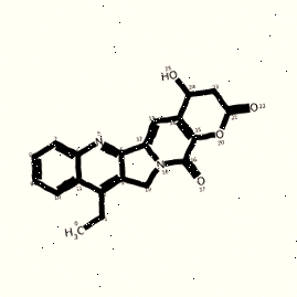 CCc1c2c(nc3ccccc13)-c1cc3c(c(=O)n1C2)OC(=O)CC3O